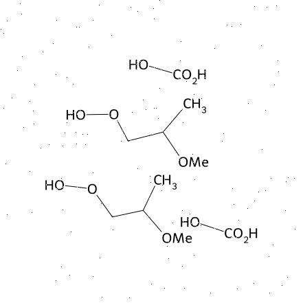 COC(C)COO.COC(C)COO.O=C(O)O.O=C(O)O